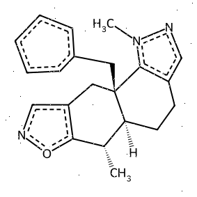 C[C@@H]1c2oncc2C[C@]2(Cc3ccccc3)c3c(cnn3C)CC[C@@H]12